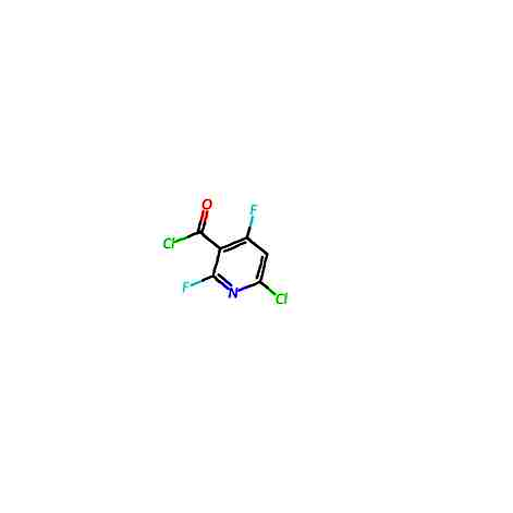 O=C(Cl)c1c(F)cc(Cl)nc1F